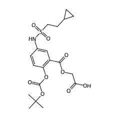 CC(C)(C)OC(=O)Oc1ccc(NS(=O)(=O)CCC2CC2)cc1C(=O)OCC(=O)O